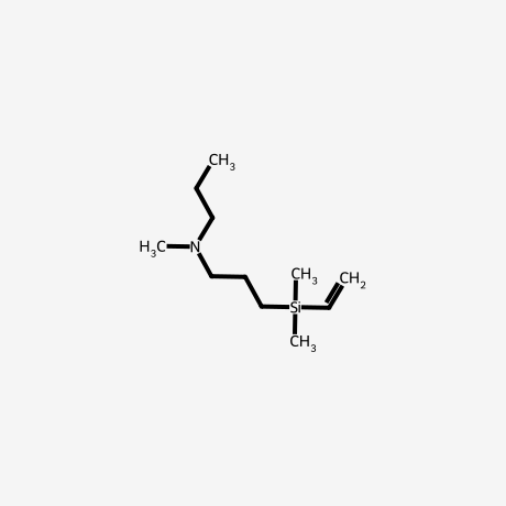 C=C[Si](C)(C)CCCN(C)CCC